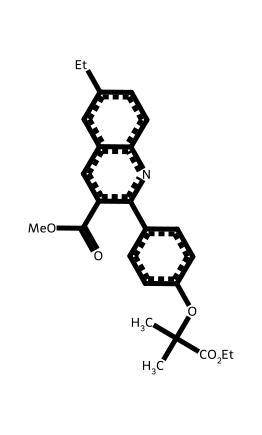 CCOC(=O)C(C)(C)Oc1ccc(-c2nc3ccc(CC)cc3cc2C(=O)OC)cc1